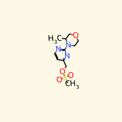 CC1COCCN1c1nccc(COS(C)(=O)=O)n1